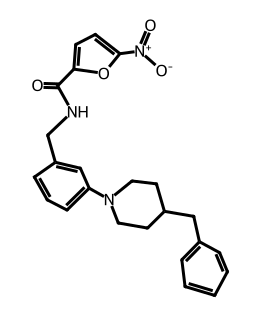 O=C(NCc1cccc(N2CCC(Cc3ccccc3)CC2)c1)c1ccc([N+](=O)[O-])o1